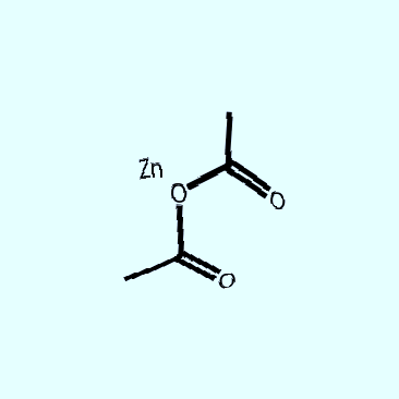 CC(=O)OC(C)=O.[Zn]